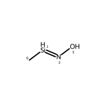 C[SiH]=NO